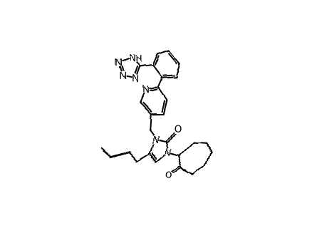 CCCCc1cn(C2CCCCCC2=O)c(=O)n1Cc1ccc(-c2ccccc2-c2nnn[nH]2)nc1